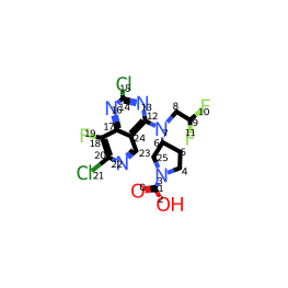 O=C(O)N1CC[C@@H](N(CC(F)F)c2nc(Cl)nc3c(F)c(Cl)ncc23)C1